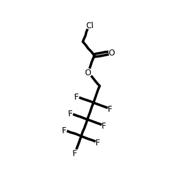 O=C(CCl)OCC(F)(F)C(F)(F)C(F)(F)F